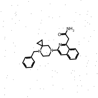 NC(=O)Cc1nc(N2CCN(Cc3ccccc3)C3(CC3)C2)cc2ccccc12